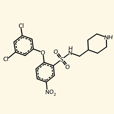 O=[N+]([O-])c1ccc(Oc2cc(Cl)cc(Cl)c2)c(S(=O)(=O)NCC2CCNCC2)c1